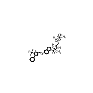 CC(C)(C)OC(=O)CCNC(C)(C)C(=O)N1CCc2cc(OCc3cc(-c4ccccc4)c(C(F)(F)F)s3)ccc21